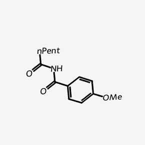 CCCCCC(=O)NC(=O)c1ccc(OC)cc1